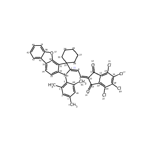 Cc1cc(C)c(N2/C(=C\C=C3C(=O)c4c(Cl)c(Cl)c(Cl)c(Cl)c4C3=O)C3(CCCCC3)c3c2ccc2c3oc3ccccc32)c(C)c1